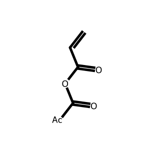 C=CC(=O)OC(=O)C(C)=O